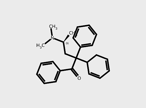 C[C@@H](CC(C(=O)c1ccccc1)(c1ccccc1)C1C=CC=CC1)N(C)C